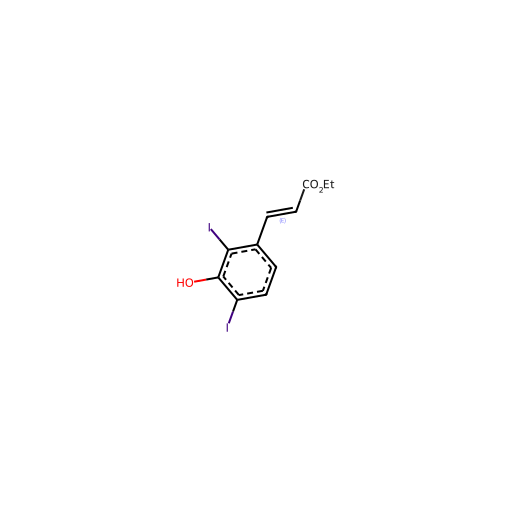 CCOC(=O)/C=C/c1ccc(I)c(O)c1I